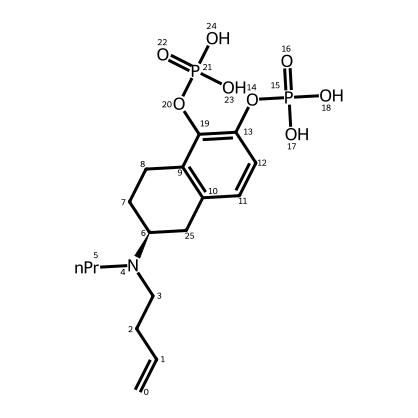 C=CCCN(CCC)[C@H]1CCc2c(ccc(OP(=O)(O)O)c2OP(=O)(O)O)C1